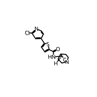 O=C(N[C@H]1CN2CCC1CC2)c1ccc(-c2ccnc(Cl)c2)s1